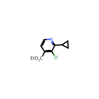 CCOC(=O)c1ccnc(C2CC2)c1Cl